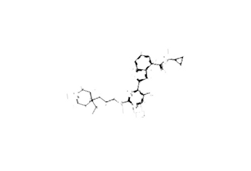 CCC1(CCCNc2ncc(Cl)c(-c3cc4c(C(=O)NC5CC5)cccc4s3)n2)CCNCC1.Cl.Cl